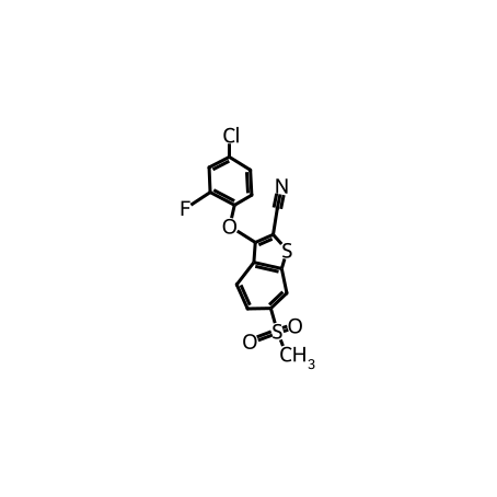 CS(=O)(=O)c1ccc2c(Oc3ccc(Cl)cc3F)c(C#N)sc2c1